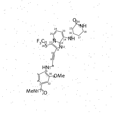 CNC(=O)c1ccc(NCC#Cc2nc3c(N[C@H]4CCNC(=O)C4)cccn3c2SC(F)(F)F)c(OC)c1